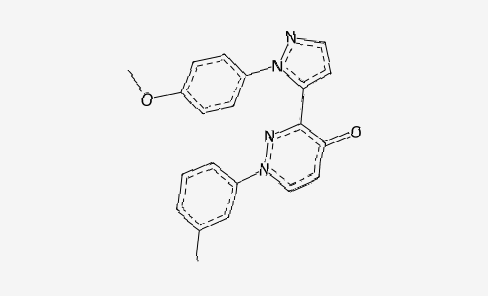 COc1ccc(-n2nccc2-c2nn(-c3cccc(C)c3)ccc2=O)cc1